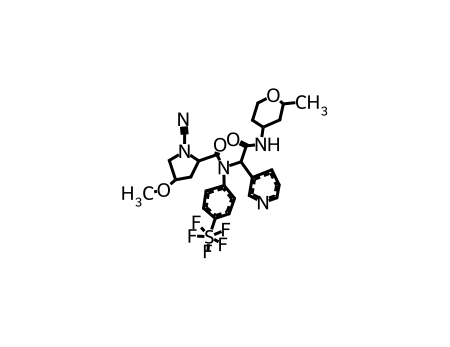 COC1CC(C(=O)N(c2ccc(S(F)(F)(F)(F)F)cc2)C(C(=O)NC2CCOC(C)C2)c2cccnc2)N(C#N)C1